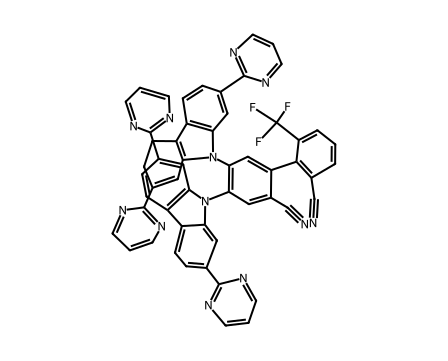 N#Cc1cc(-n2c3cc(-c4ncccn4)ccc3c3ccc(-c4ncccn4)cc32)c(-n2c3c(c4ccc(-c5ncccn5)cc42)CCC(c2ncccn2)=C3)cc1-c1c(C#N)cccc1C(F)(F)F